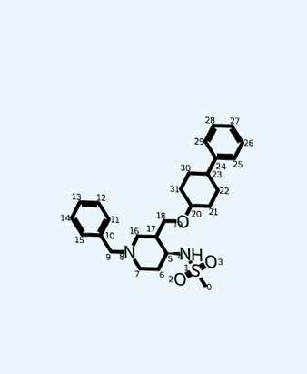 CS(=O)(=O)N[C@H]1CCN(Cc2ccccc2)CC1COC1CCC(c2ccccc2)CC1